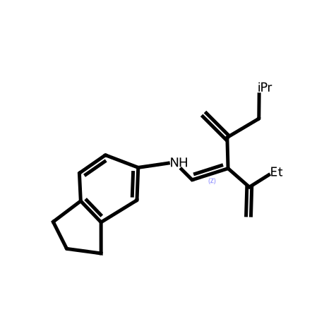 C=C(CC)/C(=C/Nc1ccc2c(c1)CCC2)C(=C)CC(C)C